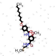 CCCCCCCCCOc1ccc(C(=O)Nc2cc(C(=O)NCCSC)ccc2OC)cc1